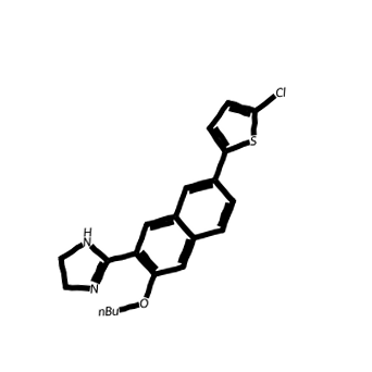 CCCCOc1cc2ccc(-c3ccc(Cl)s3)cc2cc1C1=NCCN1